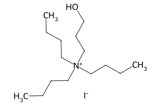 CCCC[N+](CCCC)(CCCC)CCCO.[I-]